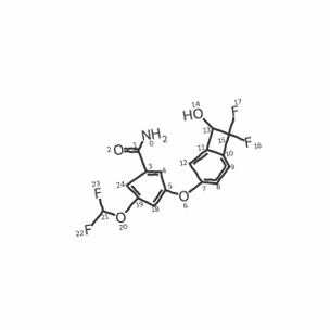 NC(=O)c1cc(OC2=C=C=C3C(=C2)C(O)C3(F)F)cc(OC(F)F)c1